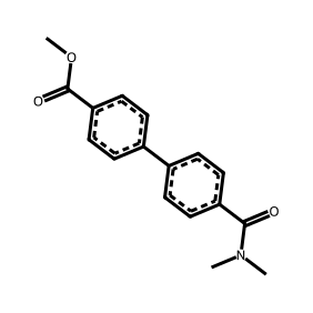 COC(=O)c1ccc(-c2ccc(C(=O)N(C)C)cc2)cc1